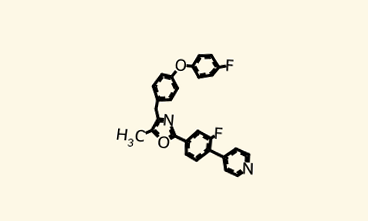 Cc1oc(-c2ccc(-c3ccncc3)c(F)c2)nc1Cc1ccc(Oc2ccc(F)cc2)cc1